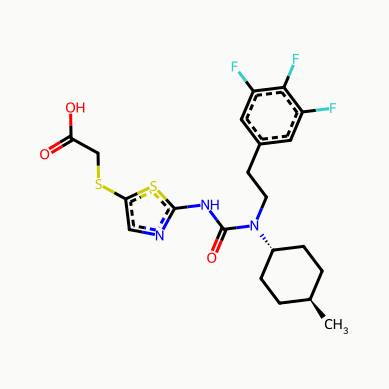 C[C@H]1CC[C@H](N(CCc2cc(F)c(F)c(F)c2)C(=O)Nc2ncc(SCC(=O)O)s2)CC1